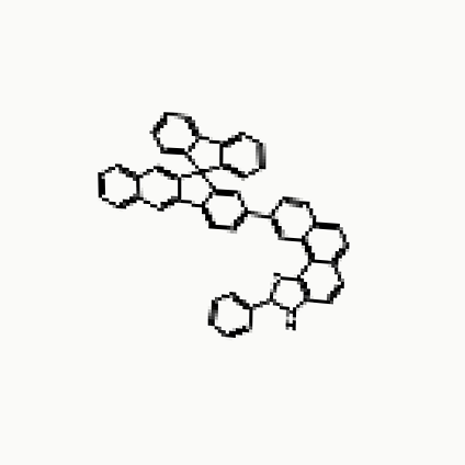 c1ccc(C2Nc3ccc4ccc5ccc(-c6ccc7c(c6)C6(c8ccccc8-c8ccccc86)c6cc8ccccc8cc6-7)cc5c4c3S2)cc1